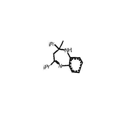 CC(C)C1=Nc2ccccc2NC(C)(C(C)C)C1